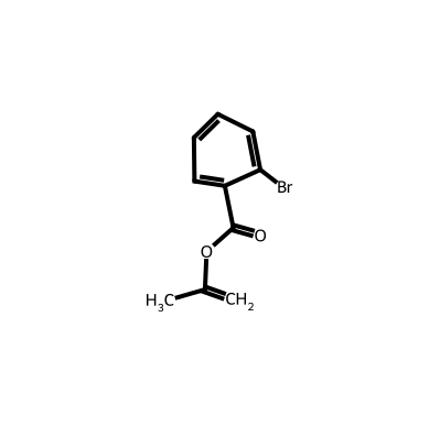 C=C(C)OC(=O)c1ccccc1Br